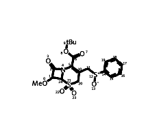 COC1C(=O)N2C(C(=O)OC(C)(C)C)=C(C[S+]([O-])c3ccccc3)CS(=O)(=O)C12